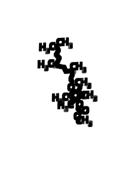 CCc1c(C)c(OCC(=O)OC)c(C)c(C)c1OCCC[C@H](C)CCC[C@H](C)CCCC(C)C